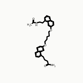 CC(=O)NCCc1cccc2ccc(OCCCCCOc3ccc4cccc(CCCC(N)=O)c4c3)cc12